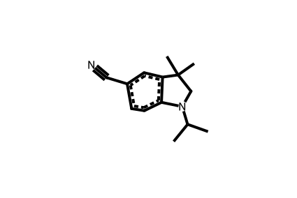 CC(C)N1CC(C)(C)c2cc(C#N)ccc21